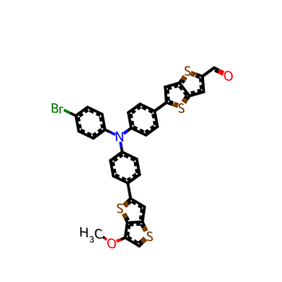 COc1csc2cc(-c3ccc(N(c4ccc(Br)cc4)c4ccc(-c5cc6sc(C=O)cc6s5)cc4)cc3)sc12